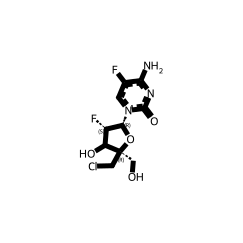 Nc1nc(=O)n([C@@H]2O[C@@](CO)(CCl)C(O)[C@@H]2F)cc1F